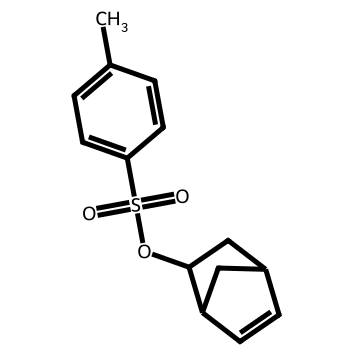 Cc1ccc(S(=O)(=O)OC2CC3C=CC2C3)cc1